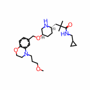 COCCCN1CCOc2ccc(CO[C@@H]3CC[C@@H](CC(C)(C)C(=O)NCC4CC4)NC3)cc21